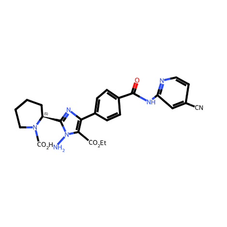 CCOC(=O)c1c(-c2ccc(C(=O)Nc3cc(C#N)ccn3)cc2)nc([C@@H]2CCCCN2C(=O)O)n1N